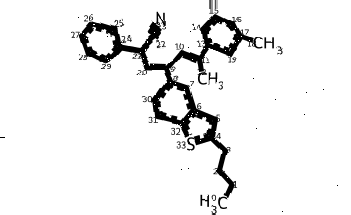 CCCCc1cc2cc(C(/C=C(\C)c3cccc(C)c3)=C/C(C#N)c3ccccc3)ccc2s1